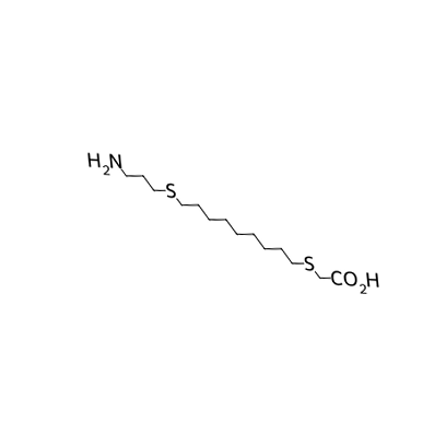 NCCCSCCCCCCCCCSCC(=O)O